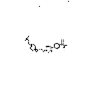 CC(=O)Nc1ccc(-c2ccc(NC[C@@H]3CC34CCN(CCC(C)(C)C)CC4)nn2)cc1